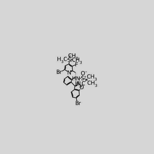 CC(C)(C)[S@+]([O-])N[C@@H](Cc1nc(Br)cc([Si](C)(C)C)c1F)c1ccccc1-c1noc2cc(Br)ccc12